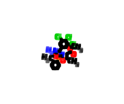 COC(=O)C=C(C)OP(=O)(N=C(N)c1cc(Cl)c(Cl)c(Cl)c1)c1ccccc1C